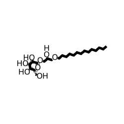 CCCCCCCCCCCCCCOCC(O)CO[C@H]1O[C@H](CO)[C@H](O)[C@H](O)[C@H]1O